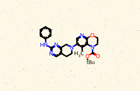 Cc1c(N2CCc3cnc(Nc4c[c]ccc4)nc3C2)cnc2c1N(C(=O)OC(C)(C)C)CCO2